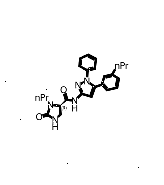 CCCc1cccc(-c2cc(NC(=O)[C@H]3CNC(=O)N3CCC)nn2-c2ccccc2)c1